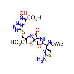 CON=C(C(=O)NC1C(=O)N2CC(CSc3nnnn3CC(=NO)C(=O)O)(C(=O)O)CS[C@H]12)c1csc(N)n1